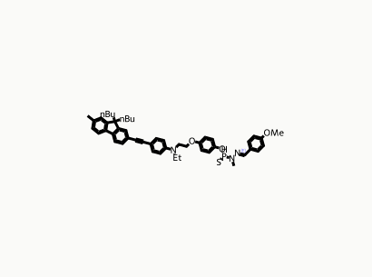 CCCCC1(CCCC)c2cc(C)ccc2-c2ccc(C#Cc3ccc(N(CC)CCOc4ccc(O[PH](=S)N(C)/N=C/c5ccc(OC)cc5)cc4)cc3)cc21